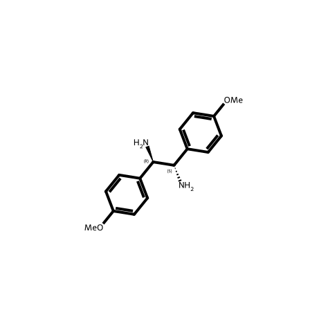 COc1ccc([C@@H](N)[C@@H](N)c2ccc(OC)cc2)cc1